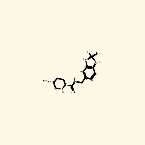 N[C@@H]1CC[C@@H](C(=O)NCc2ccc3c(c2)OC(F)(F)O3)OC1